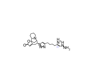 NN/C=C(\N)CCCCc1cn(C2CC3=CC(=O)OC34CC2N2CCCCC24)nn1